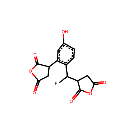 CCC(c1ccc(O)cc1C1CC(=O)OC1=O)C1CC(=O)OC1=O